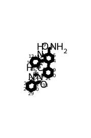 Cc1c(-c2ccc(C(N)=O)c3[nH]c4ccccc4c23)cccc1-n1cnc2ccccc2c1=O